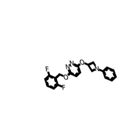 Fc1cccc(F)c1COc1ccc(OC2CN(c3ccccc3)C2)nn1